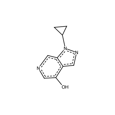 Oc1cncc2c1cnn2C1CC1